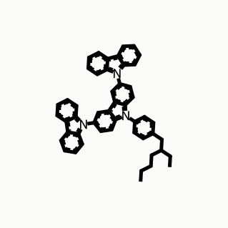 CCCCC(CC)Cc1ccc(-n2c3ccc(-n4c5ccccc5c5ccccc54)cc3c3cc(-n4c5ccccc5c5ccccc54)ccc32)cc1